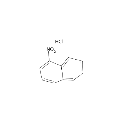 Cl.O=[N+]([O-])c1cccc2ccccc12